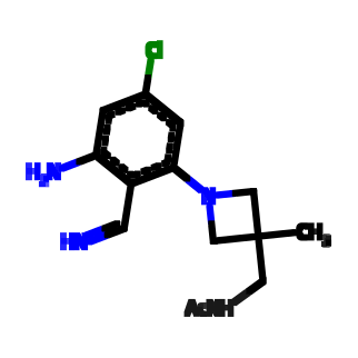 CC(=O)NCC1(C)CN(c2cc(Cl)cc(N)c2C=N)C1